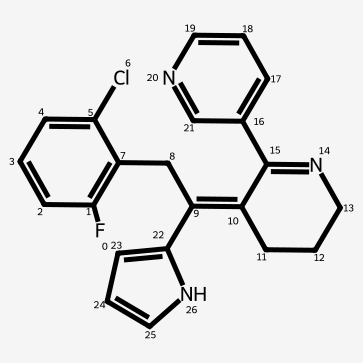 Fc1cccc(Cl)c1CC(=C1CCCN=C1c1cccnc1)c1ccc[nH]1